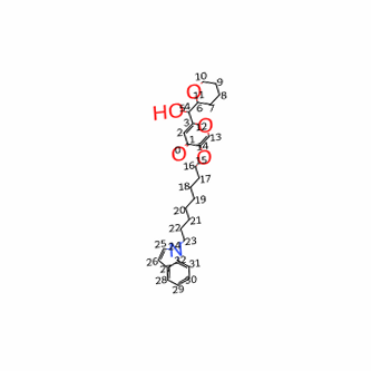 O=c1cc(C(O)C2CCCCO2)occ1OCCCCCCCCn1ccc2ccccc21